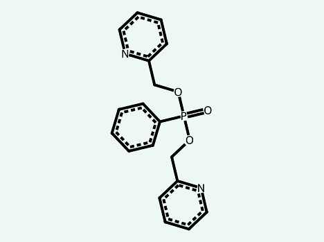 O=P(OCc1ccccn1)(OCc1ccccn1)c1ccccc1